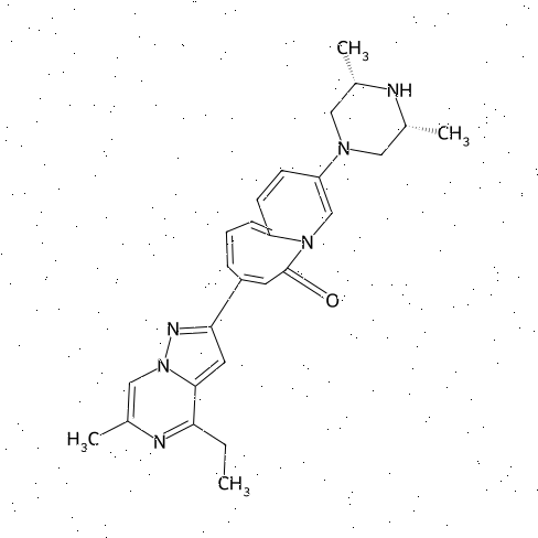 CCc1nc(C)cn2nc(C3=C\C(=O)N4C=C(N5C[C@@H](C)N[C@@H](C)C5)C=C\C4=C/C=C/3)cc12